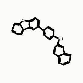 c1ccc2cc(Nc3ccc(-c4ccc5oc6ccccc6c5c4)cc3)ccc2c1